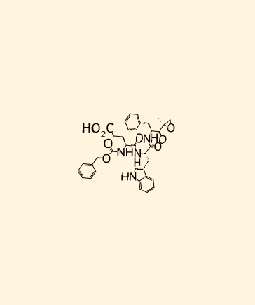 C[C@]1(C(=O)[C@H](Cc2ccccc2)NC(=O)[C@H](Cc2c[nH]c3ccccc23)NC(=O)[C@H](CCC(=O)O)NC(=O)OCc2ccccc2)CO1